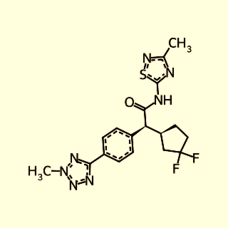 Cc1nsc(NC(=O)[C@H](c2ccc(-c3nnn(C)n3)cc2)[C@H]2CCC(F)(F)C2)n1